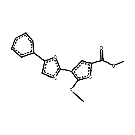 COC(=O)c1cc(-c2ncc(-c3ccccc3)o2)c(SC)s1